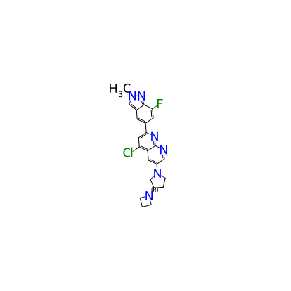 Cn1cc2cc(-c3cc(Cl)c4cc(N5CC[C@@H](N6CCC6)C5)cnc4n3)cc(F)c2n1